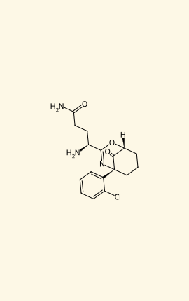 NC(=O)CC[C@H](N)C1=N[C@@]2(c3ccccc3Cl)CCC[C@@H](O1)C2=O